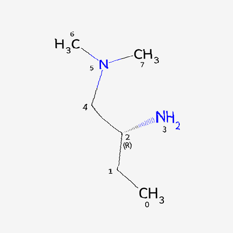 CC[C@@H](N)CN(C)C